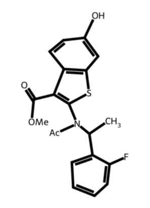 COC(=O)c1c(N(C(C)=O)C(C)c2ccccc2F)sc2cc(O)ccc12